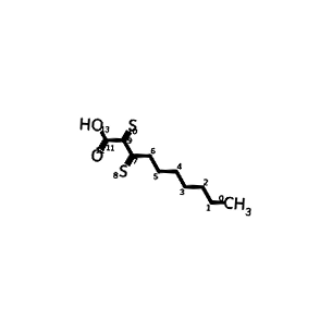 CCCCCCCC(=S)C(=S)C(=O)O